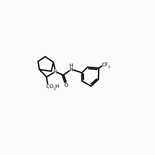 O=C(O)C1C2CCC(C2)N1C(=O)Nc1cccc(C(F)(F)F)c1